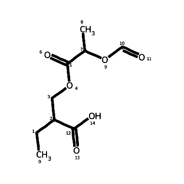 CCC(COC(=O)C(C)O[C]=O)C(=O)O